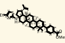 C=C(C)[C@@H]1CC[C@]2(Nc3nc(CC)cs3)CC[C@]3(C)[C@H](CCC4[C@@]5(C)CC=C(c6ccc(C(=O)OC)cc6)C(C)(C)C5CC[C@]43C)C12